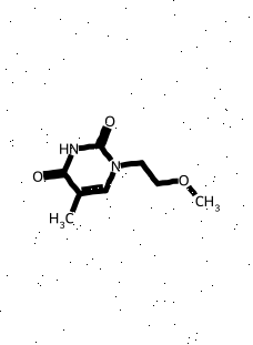 COCCn1cc(C)c(=O)[nH]c1=O